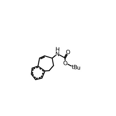 CC(C)(C)OC(=O)NC1C=Cc2ccccc2CC1